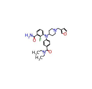 CCN(CC)C(=O)c1ccc(N(c2cccc(C(N)=O)c2F)C2CCN(Cc3ccoc3)CC2)cc1